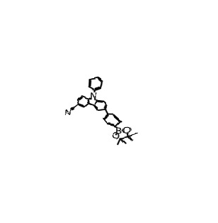 CC1(C)OB(c2ccc(-c3ccc4c(c3)c3cc(C#N)ccc3n4-c3ccccc3)cc2)OC1(C)C